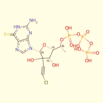 C[C@@H](OP(=O)(O)OP(=O)(O)OP(=O)(O)O)[C@H]1O[C@@H](n2cnc3c(=S)[nH]c(N)nc32)C(O)(C#CCl)[C@H]1O